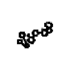 c1cc(-c2ccc3ccc4cccnc4c3n2)cc(-c2cccc3c2Oc2ccccc2C32c3ccccc3-c3ccccc32)c1